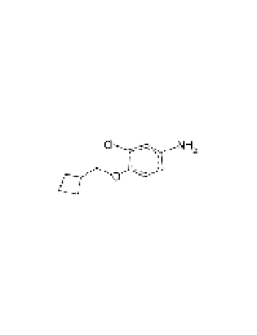 Nc1ccc(OCC2CCC2)c(Cl)c1